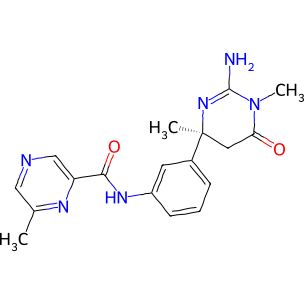 Cc1cncc(C(=O)Nc2cccc([C@]3(C)CC(=O)N(C)C(N)=N3)c2)n1